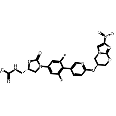 CC(=O)NC[C@H]1CN(c2cc(F)c(-c3ccc(O[C@@H]4COc5nc([N+](=O)[O-])cn5C4)nc3)c(F)c2)C(=O)O1